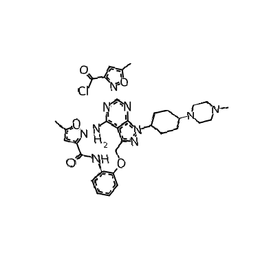 Cc1cc(C(=O)Cl)no1.Cc1cc(C(=O)Nc2ccccc2OCc2nn(C3CCC(N4CCN(C)CC4)CC3)c3ncnc(N)c23)no1